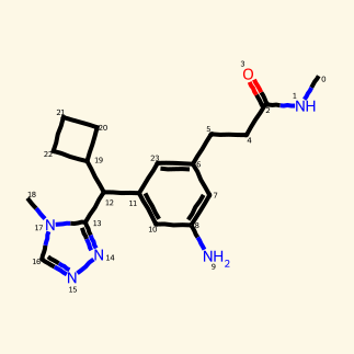 CNC(=O)CCc1cc(N)cc(C(c2nncn2C)C2CCC2)c1